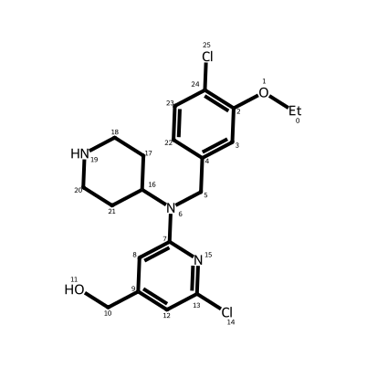 CCOc1cc(CN(c2cc(CO)cc(Cl)n2)C2CCNCC2)ccc1Cl